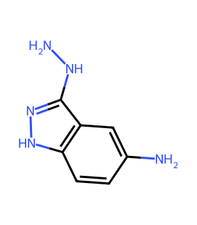 NNc1n[nH]c2ccc(N)cc12